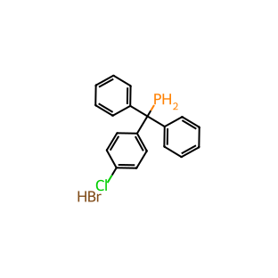 Br.PC(c1ccccc1)(c1ccccc1)c1ccc(Cl)cc1